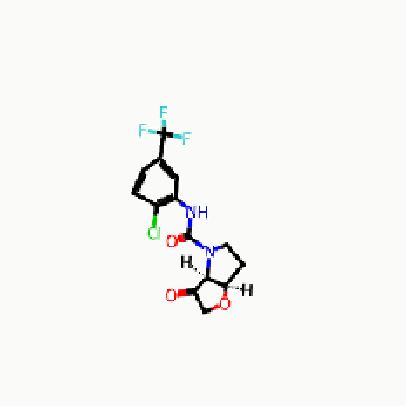 O=C1CO[C@@H]2CCN(C(=O)Nc3cc(C(F)(F)F)ccc3Cl)[C@H]12